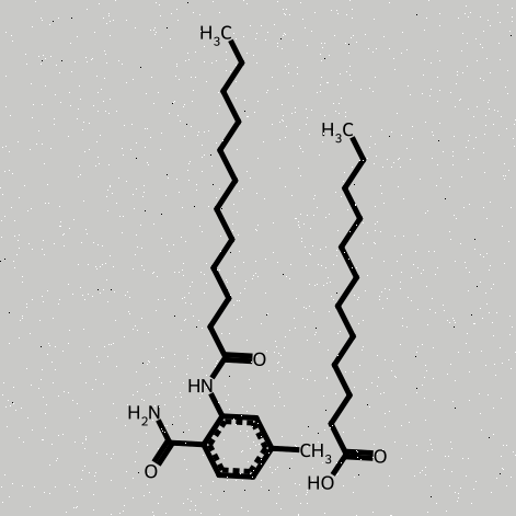 CCCCCCCCCCCC(=O)Nc1cc(C)ccc1C(N)=O.CCCCCCCCCCCC(=O)O